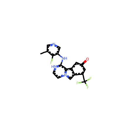 Cc1cncc(Nc2[nH]ccn3cc4c(C(F)(F)F)cc(=O)cc4c23)c1F